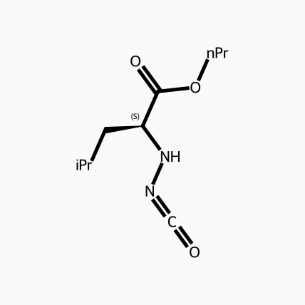 CCCOC(=O)[C@H](CC(C)C)NN=C=O